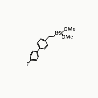 CO[SiH](OC)OCCc1ccc(-c2ccc(F)cc2)cc1